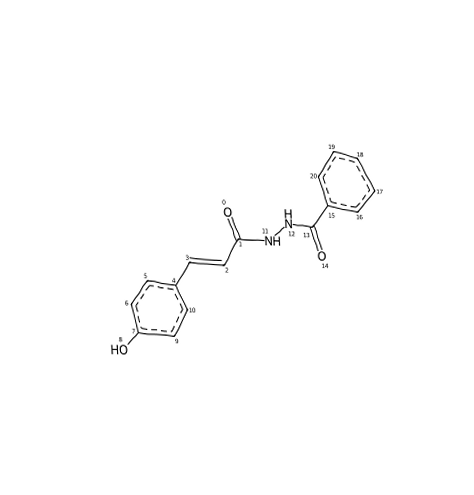 O=C(C=Cc1ccc(O)cc1)NNC(=O)c1ccccc1